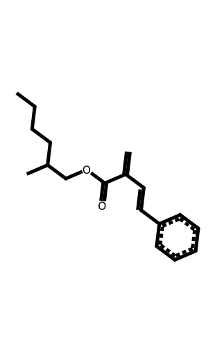 C=C(C=Cc1ccccc1)C(=O)OCC(C)CCCC